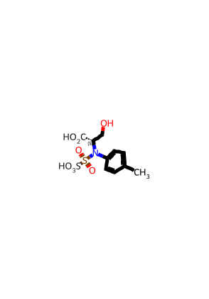 Cc1ccc(N([C@@H](CO)C(=O)O)S(=O)(=O)S(=O)(=O)O)cc1